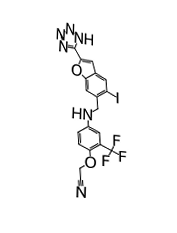 N#CCOc1ccc(NCc2cc3oc(-c4nnn[nH]4)cc3cc2I)cc1C(F)(F)F